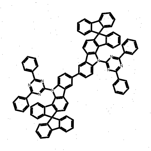 c1ccc(-c2nc(-c3ccccc3)nc(-n3c4ccc(-c5ccc6c(c5)c5ccc7c(c5n6-c5nc(-c6ccccc6)nc(-c6ccccc6)n5)-c5ccccc5C75c6ccccc6-c6ccccc65)cc4c4ccc5c(c43)-c3ccccc3C53c4ccccc4-c4ccccc43)n2)cc1